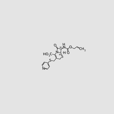 C=CCOC(=O)N[C@@H]1C(=O)N2C(C(=O)O)=C(CSc3ccncc3)CS[C@H]12